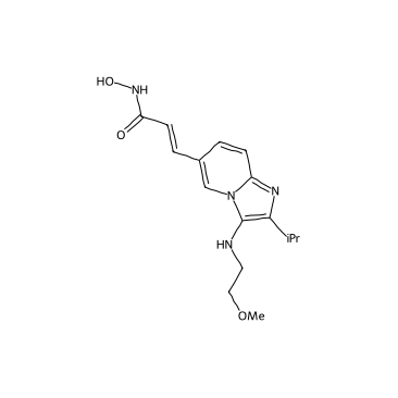 COCCNc1c(C(C)C)nc2ccc(C=CC(=O)NO)cn12